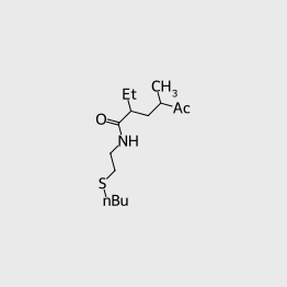 CCCCSCCNC(=O)C(CC)CC(C)C(C)=O